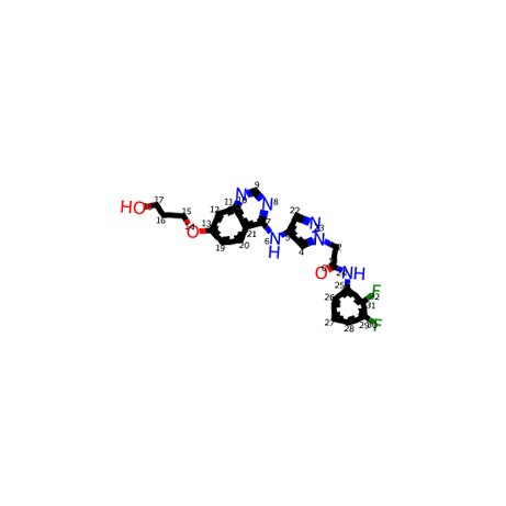 O=C(Cn1cc(Nc2ncnc3cc(OCCCO)ccc23)cn1)Nc1cccc(F)c1F